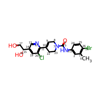 Cc1cc(NC(=O)N2CC=C(c3ncc([C@H](O)CO)cc3Cl)CC2)ccc1Br